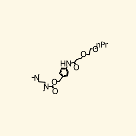 CCCOCCOCCC(=O)Nc1ccc(COC(=O)N(C)CCN(C)C)cc1